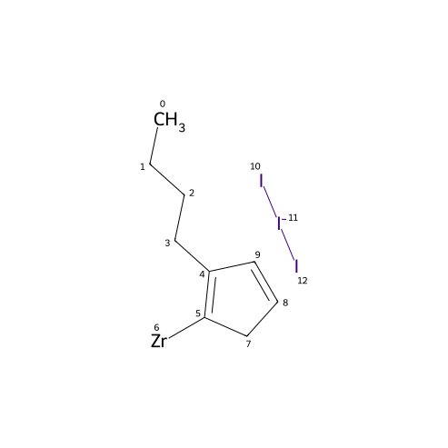 CCCCC1=[C]([Zr])CC=C1.I[I-]I